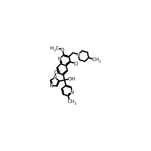 COc1nc2ccc(C(O)(c3ccc(C)nc3)c3cncn3C)cc2c(Cl)c1CN1CCC(C)CC1